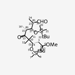 COC(=O)C[C@H](O[Si](C)(C)C(C)(C)C)C(C)(C)C(=O)[C@H](C)[C@@H](O[Si](C)(C)C(C)(C)C)[C@@H](C)C=O